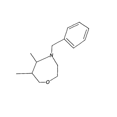 CC1COCCN(Cc2ccccc2)C1C